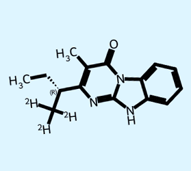 [2H]C([2H])([2H])[C@H](CC)c1nc2[nH]c3ccccc3n2c(=O)c1C